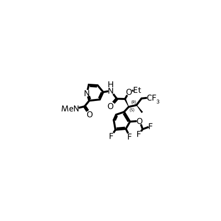 CCOC(C(=O)Nc1ccnc(C(=O)NC)c1)[C@H](c1ccc(F)c(F)c1OC(F)F)[C@H](C)CC(F)(F)F